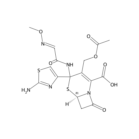 CON=CC(=O)NC1(c2csc(N)n2)S[C@@H]2CC(=O)N2C(C(=O)O)=C1COC(C)=O